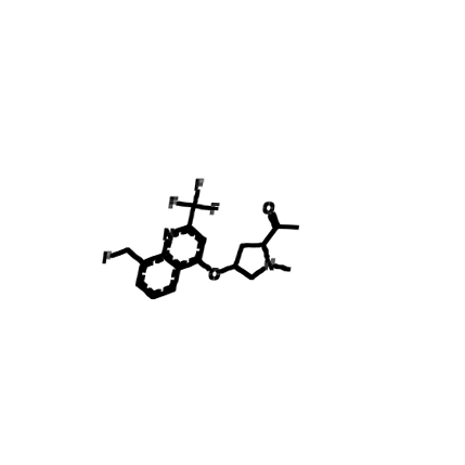 CC(=O)C1CC(Oc2cc(C(F)(F)F)nc3c(CF)cccc23)CN1C